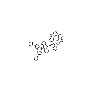 C(#C[Si](c1ccccc1)(c1ccc2oc3ccccc3c2c1)c1ccc2oc3ccccc3c2c1)c1c2ccccc2c(-n2c3ccc(-c4ccccc4)cc3c3cc(-c4ccccc4)ccc32)c2ccccc12